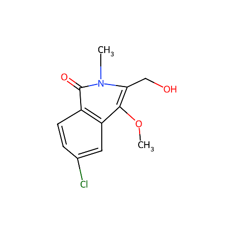 COc1c(CO)n(C)c(=O)c2ccc(Cl)cc12